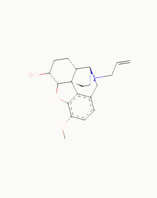 C=CCN1CC[C@@]23c4c5ccc(OC)c4OC2C(O)CCC3C1C5